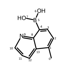 Cc1ccc(B(O)O)c2ncccc12